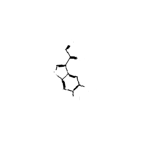 Cc1cc2[nH]cc(C(=O)C=O)c2cc1C